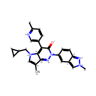 Cc1ccc(-c2c(=O)n(-c3ccc4nn(C)cc4c3)nc3c(C#N)cn(CC4CC4)c23)cn1